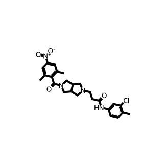 Cc1ccc(NC(=O)CCN2CC3CN(C(=O)c4c(C)cc([N+](=O)[O-])cc4C)CC3C2)cc1Cl